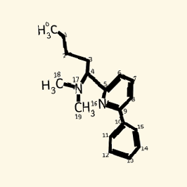 CCCCC(c1cccc(-c2ccccc2)n1)N(C)C